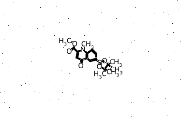 COC(=O)c1cc(=O)c2cc(B3OC(C)(C)C(C)(C)O3)ccc2n1C